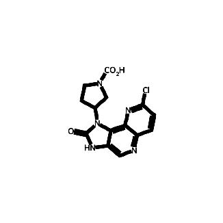 O=C(O)N1CCC(n2c(=O)[nH]c3cnc4ccc(Cl)nc4c32)C1